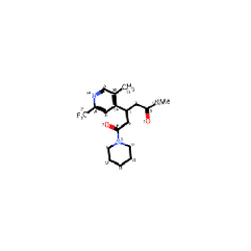 CNC(=O)CC(CC(=O)N1CCCCC1)c1cc(C(F)(F)F)ncc1C